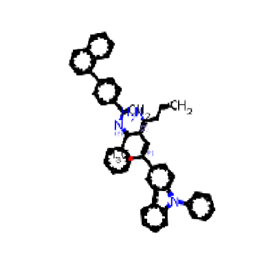 C=CC/C(N)=C(\C=C(/CC)c1ccc2c(c1)c1ccccc1n2-c1ccccc1)C(=N\C(=C)c1ccc(-c2cccc3ccccc23)cc1)/c1ccccc1